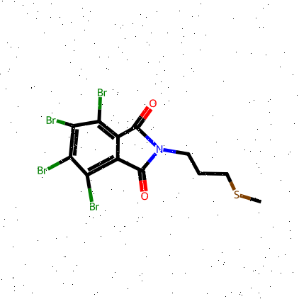 CSCCCN1C(=O)c2c(Br)c(Br)c(Br)c(Br)c2C1=O